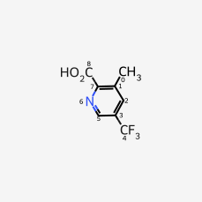 Cc1cc(C(F)(F)F)cnc1C(=O)O